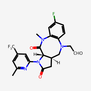 Cc1cc(C(F)(F)F)cc(N2C(=O)C[C@@H]3CN(CC=O)c4ccc(F)cc4N(C)C(=O)[C@H]32)n1